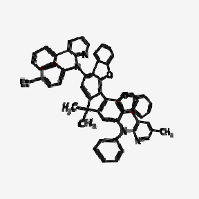 CCc1ccc(N(c2ncccc2-c2ccccc2)c2cc3c(c4oc5ccccc5c24)-c2c(cc(N(c4ccccc4)c4ncc(C)cc4-c4ccccc4)c4c2oc2ccccc24)C3(C)C)cc1